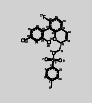 Cc1ccc(S(=O)(=O)OC[C@H]2C=Cc3ccc(F)c(-c4ccc(Cl)cc4Cl)c3O2)cc1